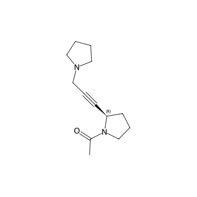 CC(=O)N1CCC[C@@H]1C#CCN1CCCC1